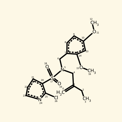 C=C(CC)CN(Cc1ccc(OC)cc1OC)S(=O)(=O)c1cccnc1Cl